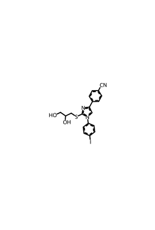 N#Cc1ccc(-c2cn(-c3ccc(I)cc3)c(SCC(O)CO)n2)cc1